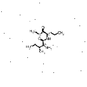 CCC[C@H](NC(=O)[C@@H](N)C(C)CC)C(=O)OC